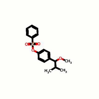 COC(c1ccc(OS(=O)(=O)c2ccccc2)cc1)C(C)C